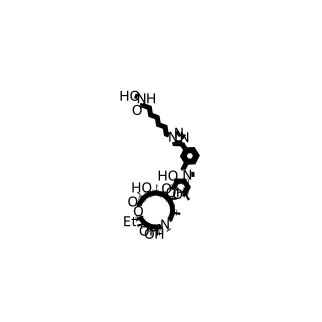 CC[C@H]1OC(=O)[C@H](C)[C@@H](O)[C@H](C)[C@@H](O[C@@H]2O[C@H](C)C[C@H](N(C)Cc3cccc(-c4cn(CCCCCCC(=O)NO)nn4)c3)[C@@H]2O)[C@](C)(O)C[C@@H](C)CN(C)[C@H](C)[C@@H](O)[C@]1(C)O